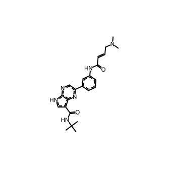 CN(C)CC=CC(=O)Nc1cccc(-c2cnc3[nH]cc(C(=O)NC(C)(C)C)c3n2)c1